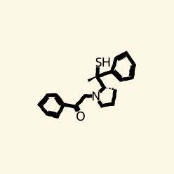 C[C@@](S)(c1ccccc1)[C@@H]1CCCN1CC(=O)c1ccccc1